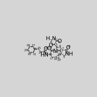 NC(=O)C(=O)C(CC1CCNC1=O)NC(=O)C(CC1CC1)NC(=O)CCc1ccccc1